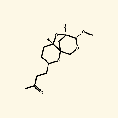 CO[C@@H]1OCC23C[C@H]1O[C@H]2CC[C@H](CCC(C)=O)O3